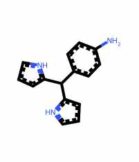 Nc1ccc(C(c2ccc[nH]2)c2ccc[nH]2)cc1